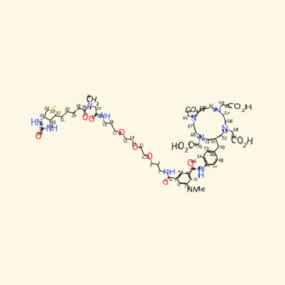 CNc1cc(C(=O)NCCCOCCOCCOCCCNC(=O)CN(C)C(=O)CCCCC2SCC3NC(=O)NC32)cc(C(=O)Nc2ccc(CC3CN(CC(=O)O)CCN(CC(=O)O)CCCN(CC(=O)O)CCN(CC(=O)O)C3)cc2)c1